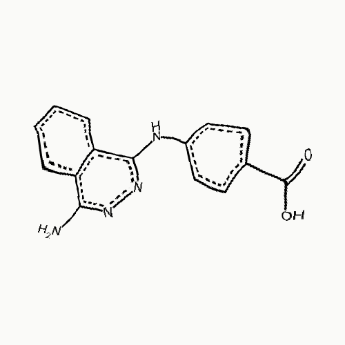 Nc1nnc(Nc2ccc(C(=O)O)cc2)c2ccccc12